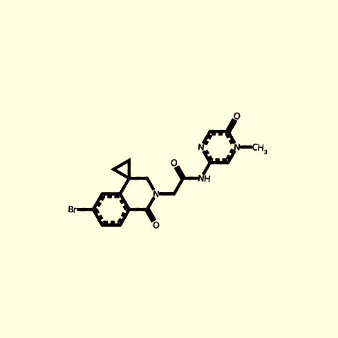 Cn1cc(NC(=O)CN2CC3(CC3)c3cc(Br)ccc3C2=O)ncc1=O